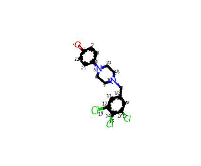 [O]c1ccc(N2CCN(Cc3cc(Cl)c(Cl)c(Cl)c3)CC2)cc1